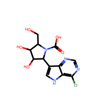 O=C(O)N1C(CO)C(O)C(O)C1c1c[nH]c2c(Cl)ncnc12